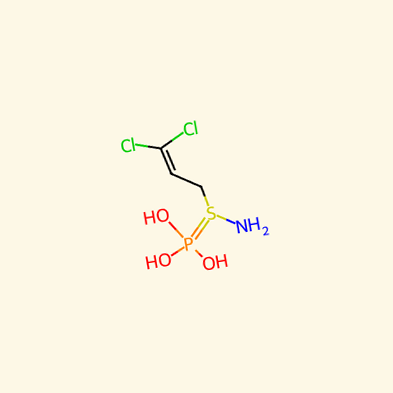 NS(CC=C(Cl)Cl)=P(O)(O)O